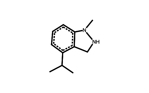 CC(C)c1cccc2c1CNN2C